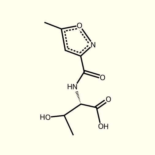 Cc1cc(C(=O)N[C@H](C(=O)O)C(C)O)no1